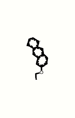 CCOc1ccc2cc3[c]cccc3cc2c1